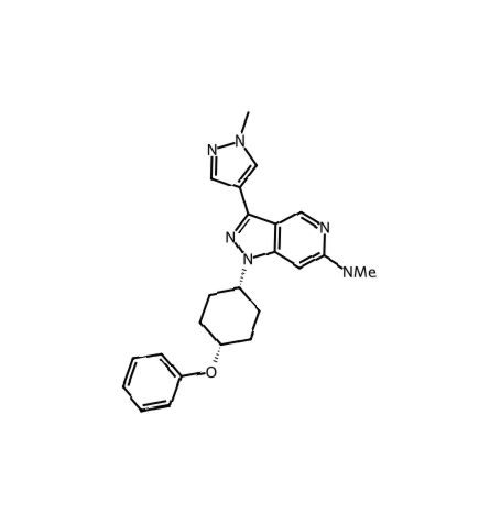 CNc1cc2c(cn1)c(-c1cnn(C)c1)nn2[C@H]1CC[C@@H](Oc2ccccc2)CC1